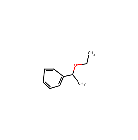 [CH2]C(OCC)c1ccccc1